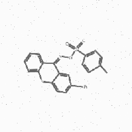 Cc1ccc(S(=O)(=O)ON=c2c3ccccc3sc3ccc(C(C)C)cc23)cc1